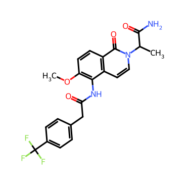 COc1ccc2c(=O)n(C(C)C(N)=O)ccc2c1NC(=O)Cc1ccc(C(F)(F)F)cc1